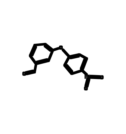 O=Cc1cccc(Oc2ccc([SH](=O)=O)cc2)c1